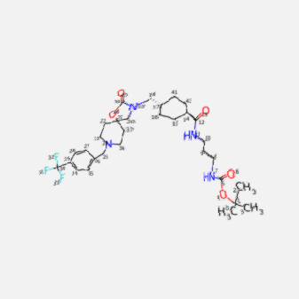 CC(C)(C)OC(=O)NCCCNC(=O)[C@H]1CC[C@H](CN2CC3(CCN(Cc4ccc(C(F)(F)F)cc4)CC3)OC2=O)CC1